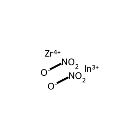 O=[N+]([O-])[O-].O=[N+]([O-])[O-].[In+3].[Zr+4]